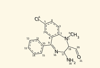 CN1c2ccc(Cl)cc2C(c2ccccc2)=NC(N)C1C=O